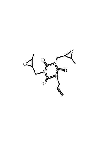 C=CCn1c(=O)n(CC2OC2C)c(=O)n(CC2OC2C)c1=O